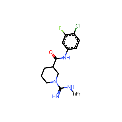 CCCNC(=N)N1CCCC(C(=O)Nc2ccc(Cl)c(F)c2)C1